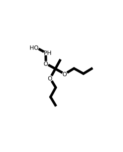 CCCOC(C)(OCCC)OPO